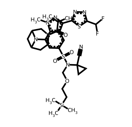 CC(C)C(=O)N1CCC2CC(C1)N2c1cc(S(=O)(=O)N(COCC[Si](C)(C)C)C2(C#N)CC2)cc2c(-c3nnc(C(F)F)s3)nn(C)c12